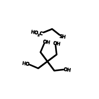 O=C(O)CS.OCC(CO)(CO)CO